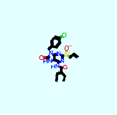 CCC[S+]([O-])c1nc(NC(=O)C(CC)CC)c2[nH]c(=O)n(Cc3ccc(Cl)cc3)c2n1